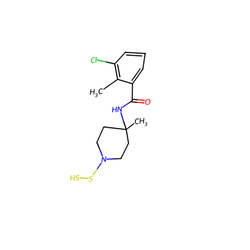 Cc1c(Cl)cccc1C(=O)NC1(C)CCN(SS)CC1